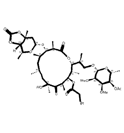 CO[C@H]1[C@@H](OC)[C@H](OC[C@H](C)[C@H]2OC(=O)[C@H](C)[C@@H](O[C@H]3C[C@@]4(C)OC(=O)O[C@H]4[C@H](C)O3)[C@H](C)C[C@@H](C)C[C@](C)(O)C(=O)[C@H](C)[C@H](OC(=O)CC(C)C)[C@H]2C)O[C@H](C)[C@H]1OC(C)=O